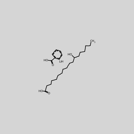 CCCCCCC(O)CCCCCCCCCCC(=O)O.O=C(O)c1ccccc1.[LiH]